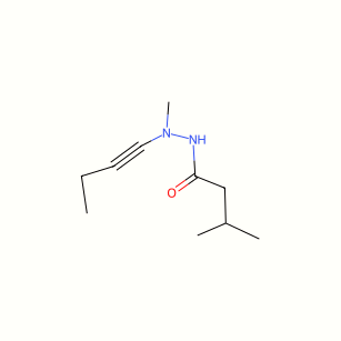 CCC#CN(C)NC(=O)CC(C)C